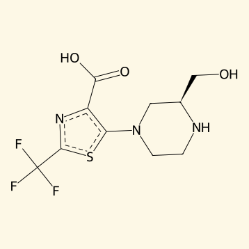 O=C(O)c1nc(C(F)(F)F)sc1N1CCN[C@H](CO)C1